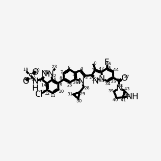 Cc1c(-c2cc3ccc(-c4ccc(Cl)c5c(NS(C)(=O)=O)nn(C)c45)cc3n2CC2CC2)nn2cc(C(=O)N3CCC4NC43)cc(F)c12